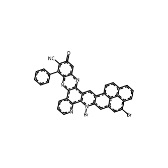 N#Cc1c(-c2ccccc2)c2nc3c4cccnc4c4c(cc5c6ccc7cccc8c(Br)cc(cc5n4Br)c6c78)c3nc2cc1=O